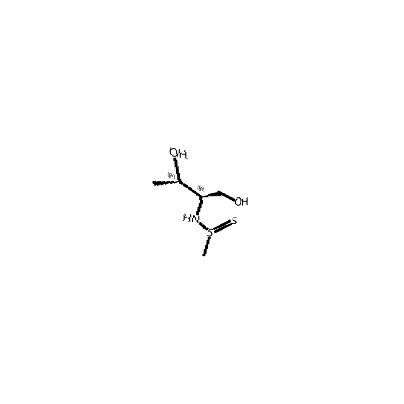 C[C@@H](O)[C@@H](CO)NS(C)=S